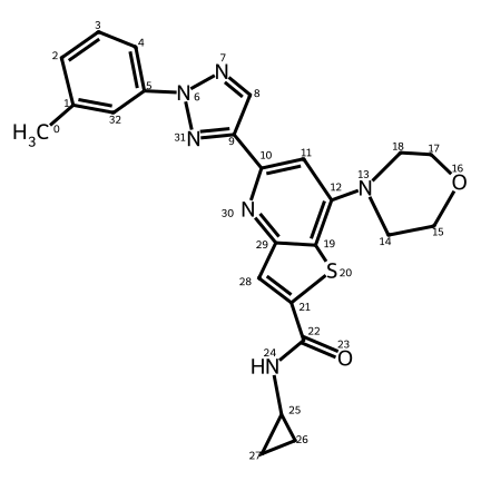 Cc1cccc(-n2ncc(-c3cc(N4CCOCC4)c4sc(C(=O)NC5CC5)cc4n3)n2)c1